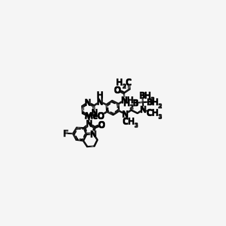 BC(B)(B)N(C)CCN(C)c1cc(OC)c(Nc2nccc(-n3c(=O)n4c5c(cc(F)cc53)CCC4)n2)cc1NC(=O)C=C